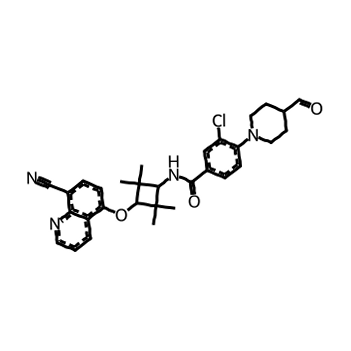 CC1(C)C(NC(=O)c2ccc(N3CCC(C=O)CC3)c(Cl)c2)C(C)(C)C1Oc1ccc(C#N)c2ncccc12